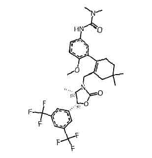 COc1ccc(NC(=O)N(C)C)cc1C1=C(CN2C(=O)O[C@H](c3cc(C(F)(F)F)cc(C(F)(F)F)c3)[C@@H]2C)CC(C)(C)CC1